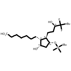 CCCCC(F)(F)[C@H](O)CC[C@@H]1[C@@H](CCCCCCC(=O)O)[C@@H](O)C[C@H]1O[Si](C)(C)C(C)(C)C